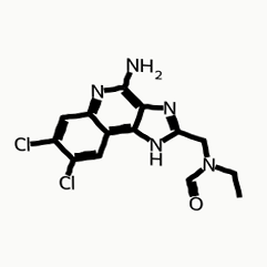 CCN(C=O)Cc1nc2c(N)nc3cc(Cl)c(Cl)cc3c2[nH]1